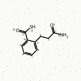 NC(=O)CCc1ccccc1C(=O)S